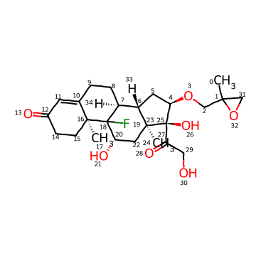 CC1(CO[C@@H]2C[C@H]3[C@@H]4CCC5=CC(=O)CC[C@]5(C)C4(F)[C@@H](O)C[C@]3(C)[C@@]2(O)C(=O)CO)CO1